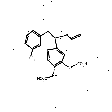 C=CCN(Cc1cccc(C(F)(F)F)c1)c1ccc(NC(=O)O)c(NC(=O)O)c1